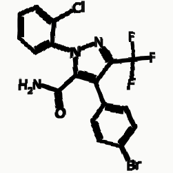 NC(=O)c1c(-c2ccc(Br)cc2)c(C(F)(F)F)nn1-c1ccccc1Cl